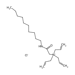 C=CC[N+](CC=C)(CC=C)CC(=O)NCCCCCCCCCC.[Cl-]